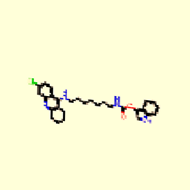 O=C(NCCCCCCCNc1c2c(nc3cc(Cl)ccc13)CCCC2)Oc1c[nH]c2ccccc12